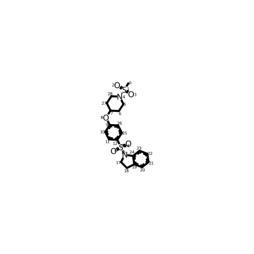 CS(=O)(=O)N1CCC(Oc2ccc(S(=O)(=O)N3CCc4ccccc43)cc2)CC1